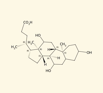 C[C@H](CCC(=O)O)[C@H]1CC[C@H]2[C@@H]3C(O)CC4CC(O)CC[C@]4(C)[C@H]3CC(O)[C@]12C